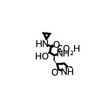 C[C@@H]1C[C@@H](C[C@H](NC(=O)O)C(O)C(=O)NC2CC2)C(=O)N1